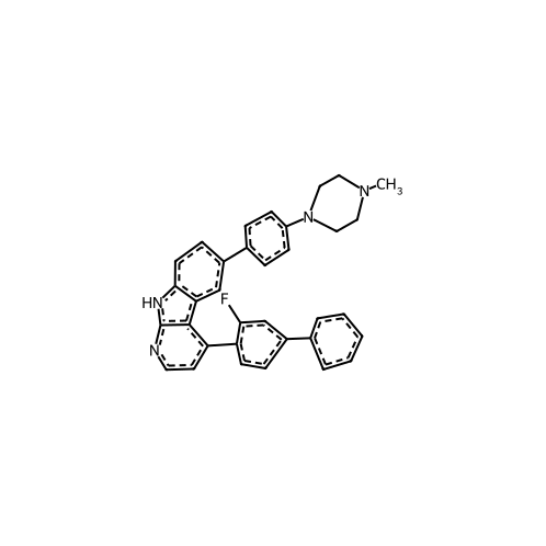 CN1CCN(c2ccc(-c3ccc4[nH]c5nccc(-c6ccc(-c7ccccc7)cc6F)c5c4c3)cc2)CC1